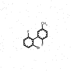 Cc1ccc(F)c(-c2c(F)cccc2Br)c1